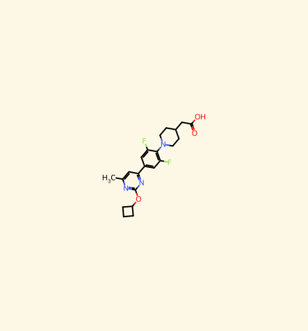 Cc1cc(-c2cc(F)c(N3CCC(CC(=O)O)CC3)c(F)c2)nc(OC2CCC2)n1